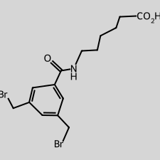 O=C(O)CCCCCNC(=O)c1cc(CBr)cc(CBr)c1